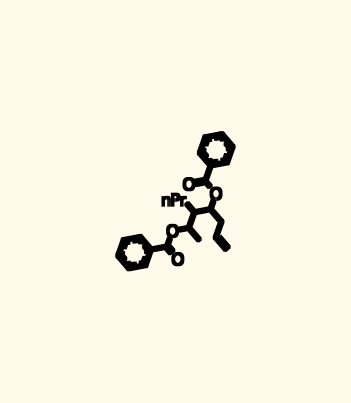 C=CCC(OC(=O)c1ccccc1)C(CCC)C(C)OC(=O)c1ccccc1